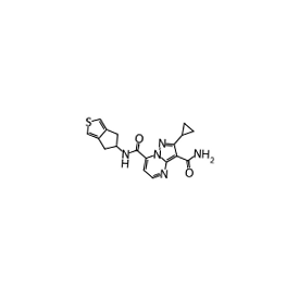 NC(=O)c1c(C2CC2)nn2c(C(=O)NC3Cc4cscc4C3)ccnc12